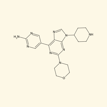 Nc1ncc(-c2nc(N3CCOCC3)nc3c2ncn3C2CCNCC2)cn1